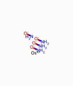 N[O-].N[O-].N[O-].N[O-].[Os+4]